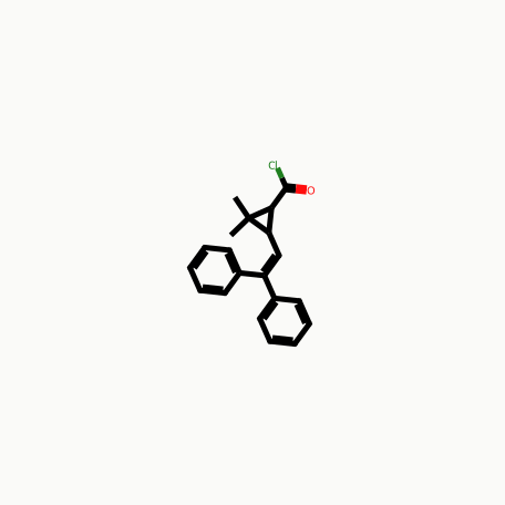 CC1(C)C(C=C(c2ccccc2)c2ccccc2)C1C(=O)Cl